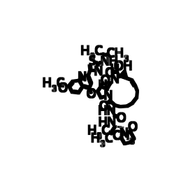 COc1ccc2c(O[C@@H]3C[C@H]4C(=O)N[C@]5(C(=O)O)CC5/C=C\CCCCC[C@H](NC(=O)N[C@H](CN5CCCCC5=O)C(C)(C)C)C(=O)N4C3)cc(-c3csc(NC(C)C)n3)nc2c1